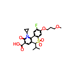 COCCCOc1cc2c(cc1F)-c1c(cc(C(=O)O)c(=O)n1C1CC1)C(C(C)C)S2(=O)=O